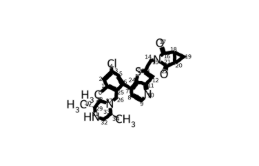 Cc1cc(Cl)cc(-c2ccnc3cc(CN4C(=O)C5CC5C4=O)sc23)c1CN1C[C@@H](C)NC[C@H]1C